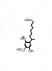 CCCCCCCCCCCCCCCCC(C)c1cc(O)c(S(=O)(=O)O)cc1O.[K]